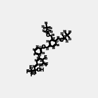 CC(O)(C=CC=C(c1cccc(OCc2ccc(CO[Si](C)(C)C(C)(C)C)c(CO[Si](C)(C)C(C)(C)C)c2)c1)C(F)C(F)F)C(F)(F)F